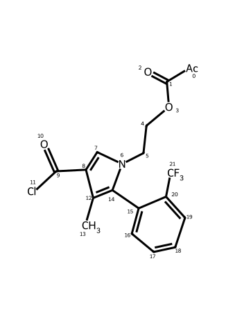 CC(=O)C(=O)OCCn1cc(C(=O)Cl)c(C)c1-c1ccccc1C(F)(F)F